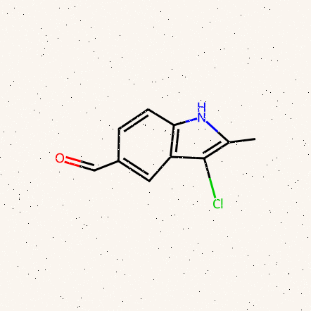 Cc1[nH]c2ccc(C=O)cc2c1Cl